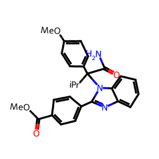 COC(=O)c1ccc(-c2nc3ccccc3n2C(C(N)=O)(c2ccc(OC)cc2)C(C)C)cc1